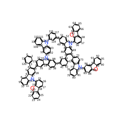 c1ccc(-c2cc3c4ccccc4n(-c4cccc5c4oc4ccccc45)c3cc2-c2ccc3c(c2)c2ccc(-c4cccc(-c5cc6c7ccccc7n(-c7cccc8c7oc7ccccc78)c6cc5-c5ccc6c(c5)c5ccccc5n6-c5ccc6oc7ccccc7c6c5)c4)cc2n3-c2ccc3c(c2)c2ccccc2n3-c2ccccc2)cc1